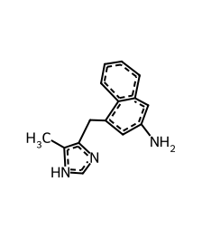 Cc1[nH]cnc1Cc1cc(N)cc2ccccc12